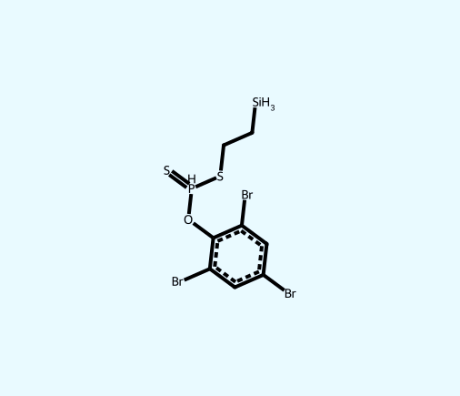 [SiH3]CCS[PH](=S)Oc1c(Br)cc(Br)cc1Br